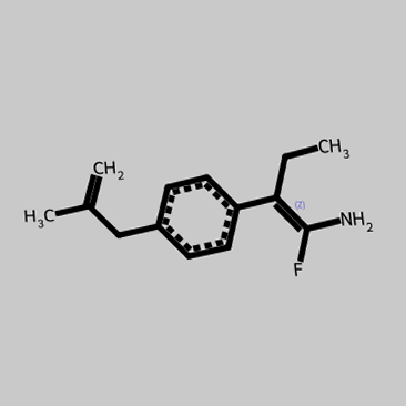 C=C(C)Cc1ccc(/C(CC)=C(/N)F)cc1